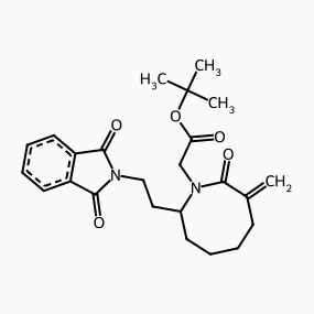 C=C1CCCCC(CCN2C(=O)c3ccccc3C2=O)N(CC(=O)OC(C)(C)C)C1=O